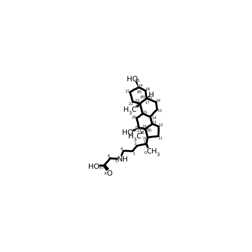 CC(CCCNCC(=O)O)C1CCC2C3CC[C@@H]4C[C@H](O)CC[C@@]4(C)C3C[C@H](O)[C@]12C